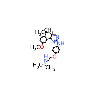 COc1ccc2c(c1)-c1nc(Nc3ccc(OCCNC(C)C)cc3)ncc1CC2(C)C